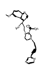 COc1ccc2nccc(C(O)CC[C@@H]3CCN(CC#Cc4cnccn4)C[C@@H]3C(=O)O)c2c1